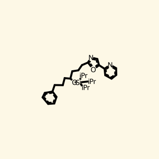 CC(C)[Si](OC(CCCc1ccccc1)CCCc1ncc(-c2ccccn2)o1)(C(C)C)C(C)C